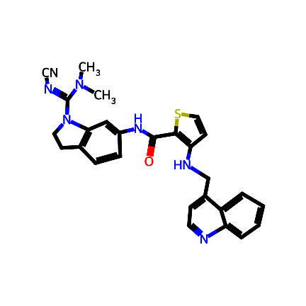 CN(C)C(=NC#N)N1CCc2ccc(NC(=O)c3sccc3NCc3ccnc4ccccc34)cc21